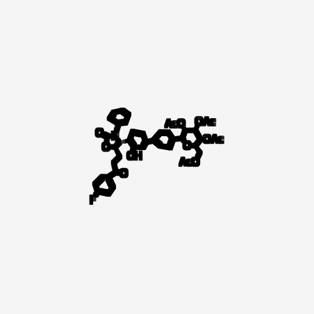 CC(=O)OC[C@H]1OC(c2ccc(-c3ccc([C@@H]4[C@@H](CCC(=O)c5ccc(F)cc5)OC(=O)N4c4ccccc4)c(O)c3)cc2)[C@H](OC(C)=O)[C@@H](OC(C)=O)[C@@H]1OC(C)=O